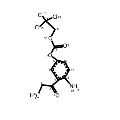 CCC(=O)c1cc(OC(=O)OCC(Cl)(Cl)Cl)ccc1N